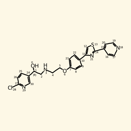 O[C@@H](CNCCOc1ccc(-c2csc(-c3ccncc3)n2)cc1)c1ccc(Cl)nc1